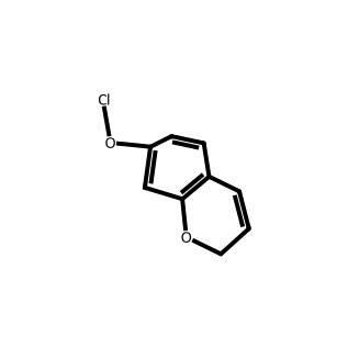 ClOc1ccc2c(c1)OCC=C2